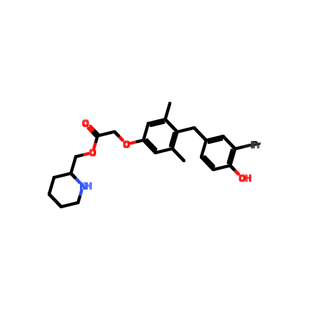 Cc1cc(OCC(=O)OCC2CCCCN2)cc(C)c1Cc1ccc(O)c(C(C)C)c1